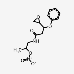 CC(CNC(=O)CC(Oc1ccccc1)C1CO1)O[N+](=O)[O-]